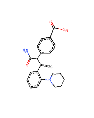 C=C(c1ccccc1N1CCCCC1)C(C(N)=O)c1ccc(C(=O)O)cc1